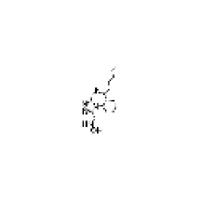 CCCCCC1=NCc2nnc(CNO)n2-c2ccccc21